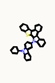 c1ccc(-n2c3ccccc3c3cc(-n4c5ccccc5c5c6ccccc6c6c7ccccc7sc6c54)ccc32)cc1